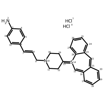 Cl.Cl.Nc1ccc(C=CCN2CCC(=S3C=c4ccccc4=Cc4ccccc43)CC2)cc1